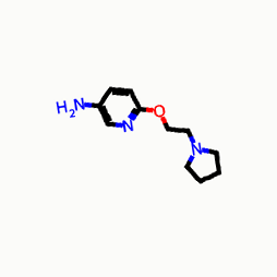 Nc1ccc(OCCN2CCCC2)nc1